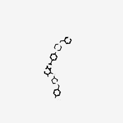 COc1ccc(CN2CCC(Nc3c(Cl)cnc4[nH]c(-c5ccc(N6CCN(Cc7cccnc7)CC6)cc5)nc34)C2)cc1